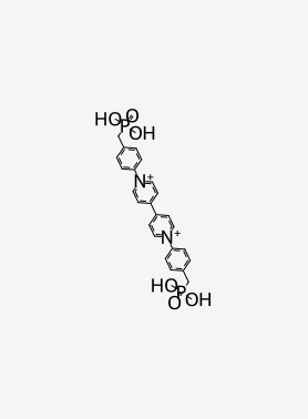 O=P(O)(O)Cc1ccc(-[n+]2ccc(-c3cc[n+](-c4ccc(CP(=O)(O)O)cc4)cc3)cc2)cc1